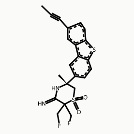 CC#Cc1ccc2sc3ccc([C@]4(C)CS(=O)(=O)C(CF)(CF)C(=N)N4)cc3c2c1